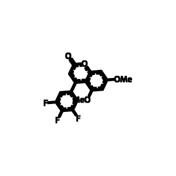 COc1cc(OC)c2c(-c3cc(F)c(F)c(F)c3)cc(=O)oc2c1